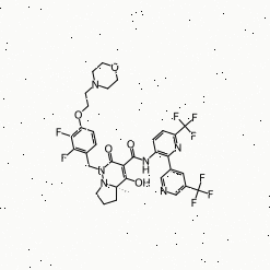 C[C@]12CCCN1N(Cc1ccc(OCCN3CCOCC3)c(F)c1F)C(=O)C(C(=O)Nc1ccc(C(F)(F)F)nc1-c1cncc(C(F)(F)F)c1)=C2O